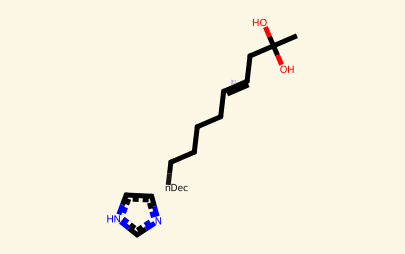 CCCCCCCCCCCCCC/C=C/CC(C)(O)O.c1c[nH]cn1